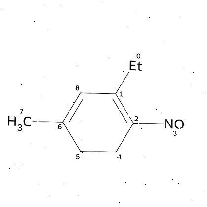 CCC1=C(N=O)CCC(C)=C1